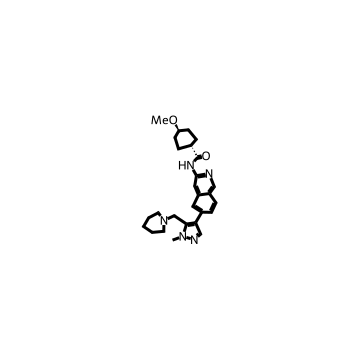 CO[C@H]1CC[C@H](C(=O)Nc2cc3cc(-c4cnn(C)c4CN4CCCCC4)ccc3cn2)CC1